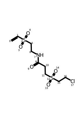 C=CS(=O)(=O)CCNC(=O)CCS(=O)(=O)CCCl